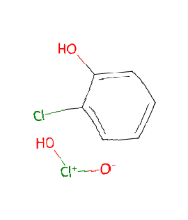 Oc1ccccc1Cl.[O-][Cl+]O